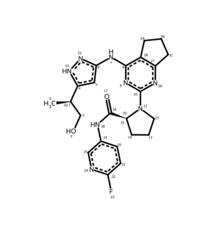 C[C@H](CO)c1cc(Nc2nc(N3CCC[C@H]3C(=O)Nc3ccc(F)nc3)nc3c2CCC3)n[nH]1